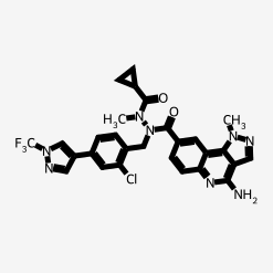 CN(C(=O)C1CC1)N(Cc1ccc(-c2cnn(C(F)(F)F)c2)cc1Cl)C(=O)c1ccc2nc(N)c3cnn(C)c3c2c1